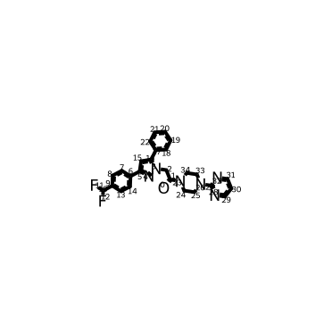 O=C(Cn1nc(-c2ccc(C(F)F)cc2)cc1-c1ccccc1)N1CCN(c2ncccn2)CC1